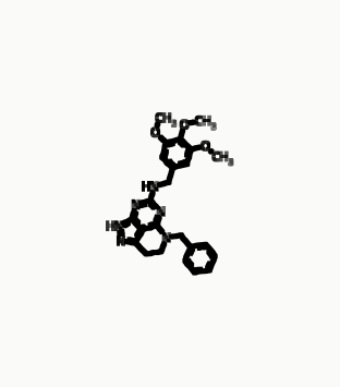 COc1cc(CNc2nc3c4c(n[nH]c4n2)CCN3Cc2ccccc2)cc(OC)c1OC